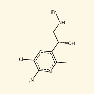 Cc1nc(N)c(Cl)cc1[C@@H](O)CNC(C)C